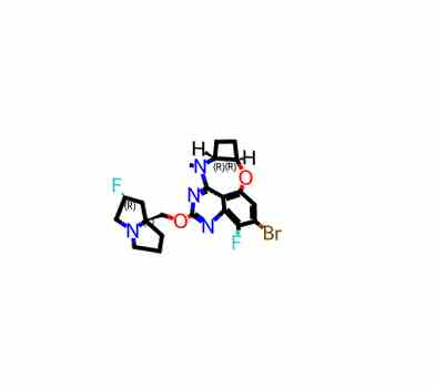 CN1c2nc(OC[C@@]34CCCN3C[C@H](F)C4)nc3c(F)c(Br)cc(c23)O[C@@H]2CC[C@H]21